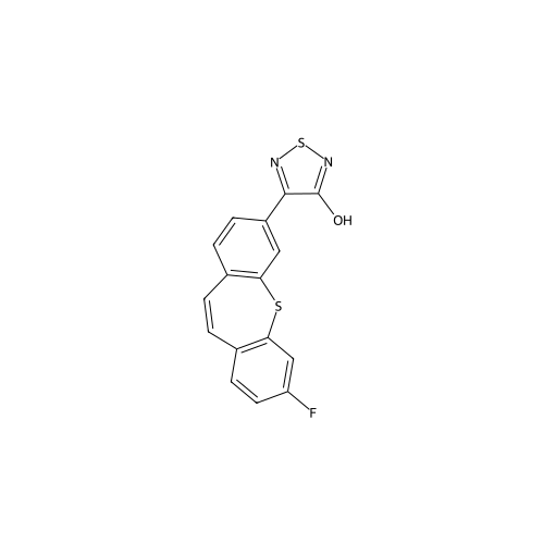 Oc1nsnc1-c1ccc2c(c1)Sc1cc(F)ccc1C=C2